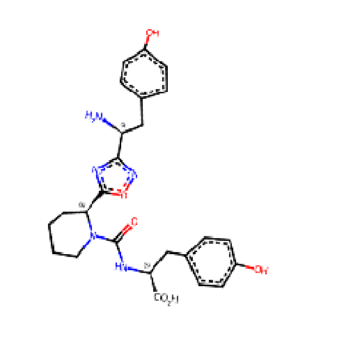 N[C@@H](Cc1ccc(O)cc1)c1noc([C@@H]2CCCCN2C(=O)N[C@@H](Cc2ccc(O)cc2)C(=O)O)n1